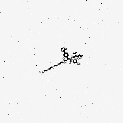 Cc1cc([C@H](C(=O)N2C[C@H](O)C[C@H]2C(=O)N[C@@H](CC(=O)NCCOCCOCCOCCN)c2ccc(-c3scnc3C)cc2)C(C)C)on1